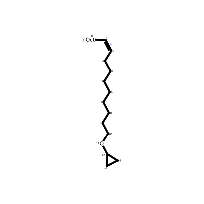 CCCCCCCC/C=C\CCCCCCCCOC1CC1